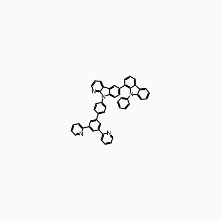 c1ccc(-n2c3ccccc3c3cccc(-c4ccc5c(c4)c4cccnc4n5-c4ccc(-c5cc(-c6ccccn6)cc(-c6ccccn6)c5)cc4)c32)cc1